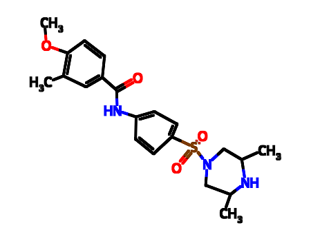 COc1ccc(C(=O)Nc2ccc(S(=O)(=O)N3CC(C)NC(C)C3)cc2)cc1C